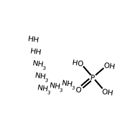 N.N.N.N.N.O=P(O)(O)O.[HH].[HH]